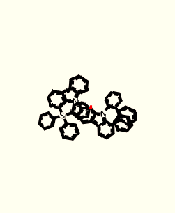 c1ccc(-c2ccccc2-n2c3cc(-n4c5ccccc5c5cccc([Si](c6ccccc6)(c6ccccc6)c6ccccc6)c54)ccc3c3cccc(-c4ccccc4)c32)cc1